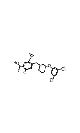 O=C(O)c1cc(C2CC2)c(CN2CCCC(Oc3cc(Cl)cc(Cl)c3)C2)cc1F